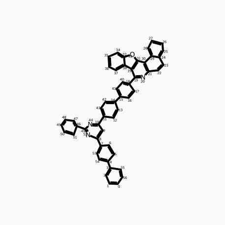 c1ccc(-c2ccc(-c3cc(-c4ccc(-c5ccc(-c6nc7ccc8ccccc8c7c7oc8ccccc8c67)cc5)cc4)nc(-c4ccccc4)n3)cc2)cc1